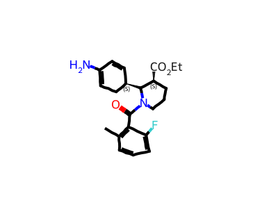 CCOC(=O)[C@H]1CCCN(C(=O)c2c(C)cccc2F)C1[C@@H]1C=CC(N)=CC1